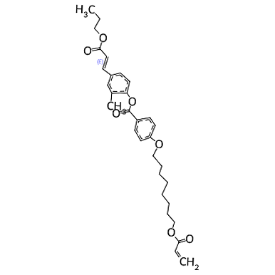 C=CC(=O)OCCCCCCCCOc1ccc(C(=O)Oc2ccc(/C=C/C(=O)OCCC)cc2C)cc1